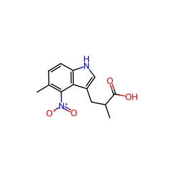 Cc1ccc2[nH]cc(CC(C)C(=O)O)c2c1[N+](=O)[O-]